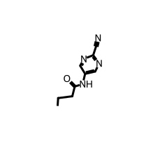 CCCC(=O)Nc1cnc(C#N)nc1